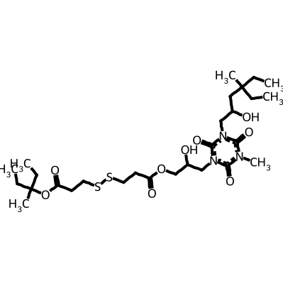 CCC(C)(CC)CC(O)Cn1c(=O)n(C)c(=O)n(CC(O)COC(=O)CCSSCCC(=O)OC(C)(CC)CC)c1=O